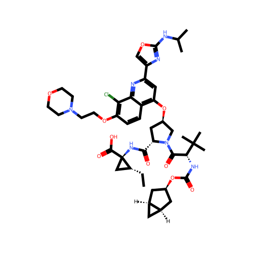 CC[C@@H]1C[C@]1(NC(=O)[C@@H]1C[C@@H](Oc2cc(-c3coc(NC(C)C)n3)nc3c(Cl)c(OCCN4CCOCC4)ccc23)CN1C(=O)[C@@H](NC(=O)O[C@@H]1C[C@@H]2C[C@@H]2C1)C(C)(C)C)C(=O)O